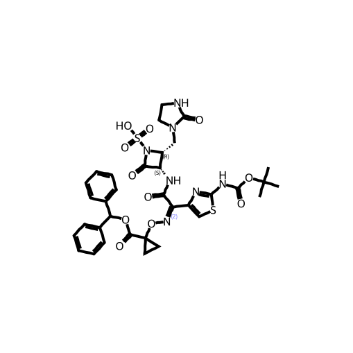 CC(C)(C)OC(=O)Nc1nc(/C(=N/OC2(C(=O)OC(c3ccccc3)c3ccccc3)CC2)C(=O)N[C@@H]2C(=O)N(S(=O)(=O)O)[C@@H]2CN2CCNC2=O)cs1